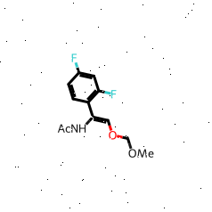 COCOC=C(NC(C)=O)c1ccc(F)cc1F